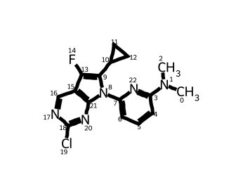 CN(C)c1cccc(-n2c(C3CC3)c(F)c3cnc(Cl)nc32)n1